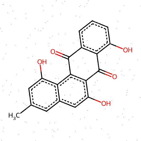 Cc1cc(O)c2c3c(c(O)cc2c1)C(=O)c1c(O)cccc1C3=O